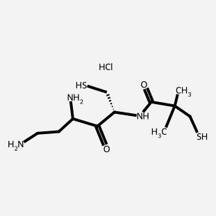 CC(C)(CS)C(=O)N[C@@H](CS)C(=O)C(N)CCN.Cl